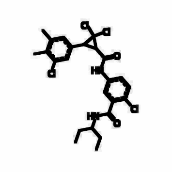 CCC(CC)NC(=O)c1cc(NC(=O)C2C(c3cc(C)c(C)c(Cl)c3)C2(Cl)Cl)ccc1Cl